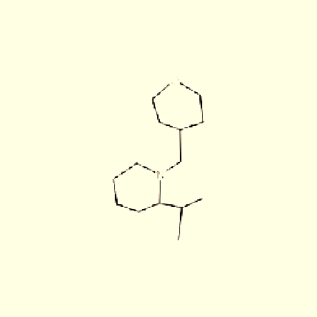 CC(C)C1CCCCN1CC1CCOCC1